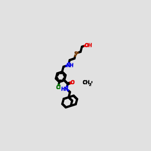 O=C(NCC12CCCC(CCC1)C2)c1cc(CNCCSCCO)ccc1Cl.[CH2]